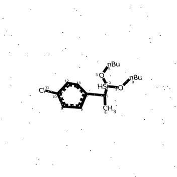 CCCCO[SiH](OCCCC)C(C)c1ccc(Cl)cc1